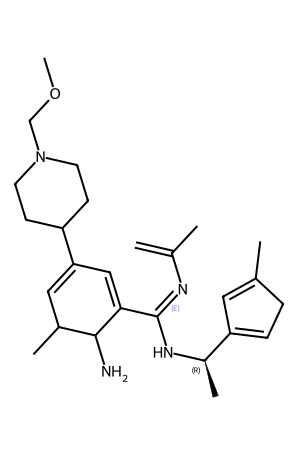 C=C(C)/N=C(/N[C@H](C)C1=CCC(C)=C1)C1=CC(C2CCN(COC)CC2)=CC(C)C1N